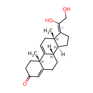 C[C@]12CCC(=O)C=C1CC[C@@H]1C2=CC[C@]2(C)/C(=C(\O)CO)CC[C@@H]12